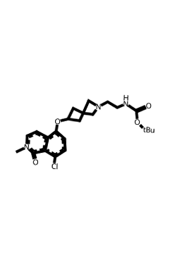 Cn1ccc2c(OC3CC4(C3)CN(CCNC(=O)OC(C)(C)C)C4)ccc(Cl)c2c1=O